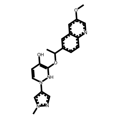 COc1cnc2ccc(C(C)OC3=C(O)C=CN(c4cnn(C)c4)N3)cc2c1